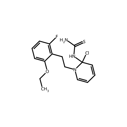 CCOc1cccc(F)c1CCN1C=CC=CC1(Cl)NC(N)=S